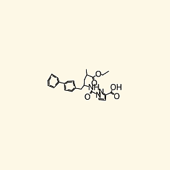 CCOC(=O)C(C)CC(Cc1ccc(-c2ccccc2)cc1)NC(=O)n1ccc(C(=O)O)n1